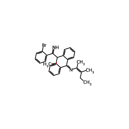 CC/C(C)=C(C)\N=C(\c1ccccc1)c1ccccc1C(CC)C(=N)c1ccccc1Br